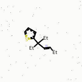 CC/C=C/C(CC)(CC)c1cccs1